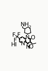 Cc1onc2c1c(=O)n(C1CCCC(CN)C1)c1cc(C(F)(F)F)cnc21.I